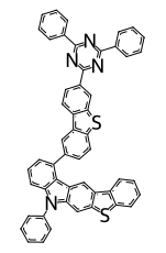 c1ccc(-c2nc(-c3ccccc3)nc(-c3ccc4c(c3)sc3ccc(-c5cccc6c5c5cc7c(cc5n6-c5ccccc5)sc5ccccc57)cc34)n2)cc1